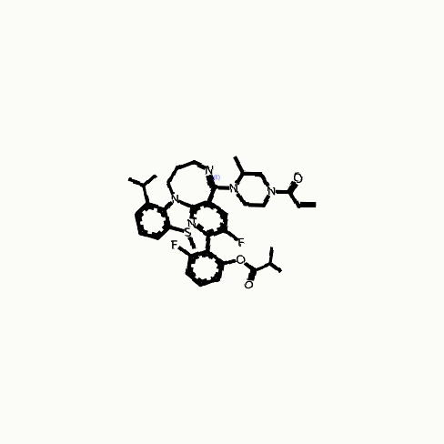 C=CC(=O)N1CCN(/C2=N/CCCN(c3c(SC)cccc3C(C)C)c3nc(-c4c(F)cccc4OC(=O)C(C)C)c(F)cc32)C(C)C1